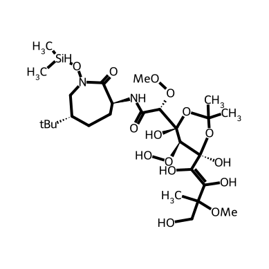 COO[C@@H](C(=O)N[C@H]1CC[C@H](C(C)(C)C)CN(O[SiH](C)C)C1=O)[C@]1(O)OC(C)(C)O[C@@](O)(/C(O)=C(\O)C(C)(CO)OC)[C@H]1OO